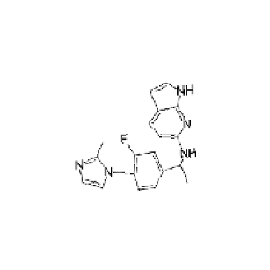 Cc1nccn1-c1ccc(C(C)Nc2ccc3cc[nH]c3n2)cc1F